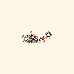 CCCCCCCCCC(CCC(=O)OCc1ccccc1)OC1O[C@@H](C)[C@H](OC(C)=O)[C@@H](OC(C)=O)[C@H]1OC(C)=O